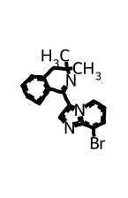 CC1(C)Cc2ccccc2C(c2cnc3c(Br)cccn23)=N1